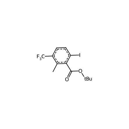 Cc1c(C(F)(F)F)ccc(I)c1C(=O)OC(C)(C)C